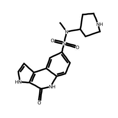 CN(C1CCNCC1)S(=O)(=O)c1ccc2[nH]c(=O)c3[nH]ccc3c2c1